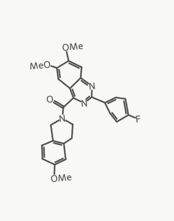 COc1ccc2c(c1)CCN(C(=O)c1nc(-c3ccc(F)cc3)nc3cc(OC)c(OC)cc13)C2